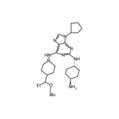 CCC(C)OC(CC)C1CCN(Nc2nc(N[C@H]3CC[C@H](N)CC3)nc3c2ncn3C2CCCC2)CC1